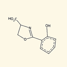 O=C(O)C1COC(c2ccccc2O)=N1